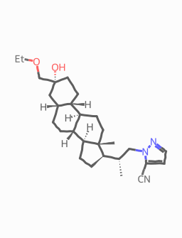 CCOC[C@@]1(O)CC[C@H]2[C@H](CC[C@@H]3[C@@H]2CC[C@]2(C)[C@@H]([C@@H](C)Cn4nccc4C#N)CC[C@@H]32)C1